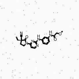 CC[C@]1(C#N)CCN(c2ccnc(Nc3cccc(NC(=O)COC)c3)n2)C1=O